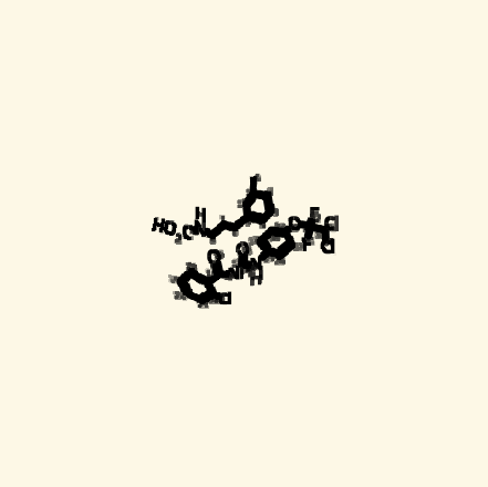 Cc1cccc(CCCNC(=O)O)c1.O=C(NC(=O)c1ccccc1Cl)Nc1ccc(OC(F)(F)C(Cl)Cl)cc1